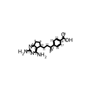 Nc1nc(N)c2c(n1)CCC2CCC(F)c1ccc(C(=O)O)cc1